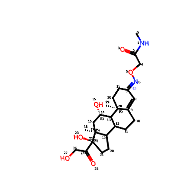 CNC(=O)CO/N=C1/C=C2CCC3C([C@@H](O)C[C@@]4(C)C3CC[C@]4(O)C(=O)CO)[C@@]2(C)CC1